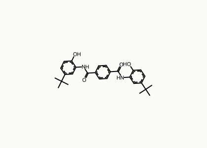 CC(C)(C)c1ccc(O)c(NC(=O)c2ccc(C(=O)Nc3cc(C(C)(C)C)ccc3O)cc2)c1